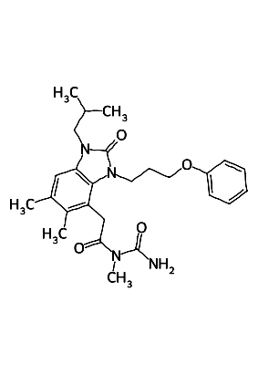 Cc1cc2c(c(CC(=O)N(C)C(N)=O)c1C)n(CCCOc1ccccc1)c(=O)n2CC(C)C